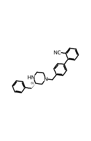 N#Cc1ccccc1-c1ccc(CN2CCN[C@@H](Cc3ccccc3)C2)cc1